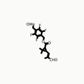 COCc1c(F)c(F)c(COC(=O)C2C(C=C(C)C=O)C2(C)C)c(F)c1F